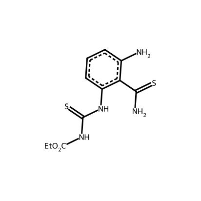 CCOC(=O)NC(=S)Nc1cccc(N)c1C(N)=S